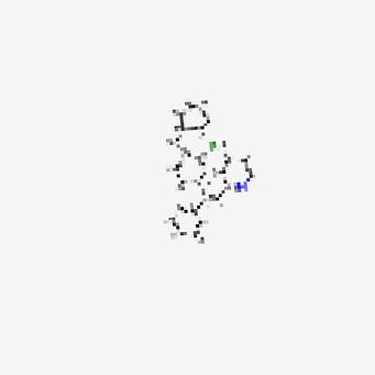 Brc1ccnc(C=C(c2ccccc2)c2ccc(Cc3ccccc3)cc2)c1